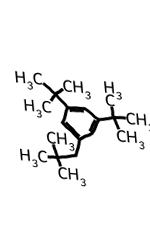 CC(C)(C)Cc1cc(C(C)(C)C)cc(C(C)(C)C)c1